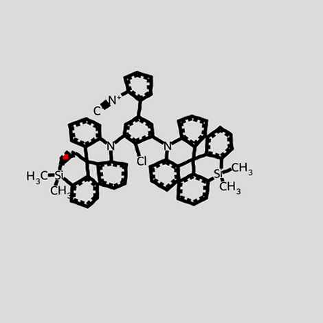 [C-]#[N+]c1ccccc1-c1cc(N2c3ccccc3C3(c4ccccc42)c2ccccc2[Si](C)(C)c2ccccc23)c(Cl)c(N2c3ccccc3C3(c4ccccc42)c2ccccc2[Si](C)(C)c2ccccc23)c1